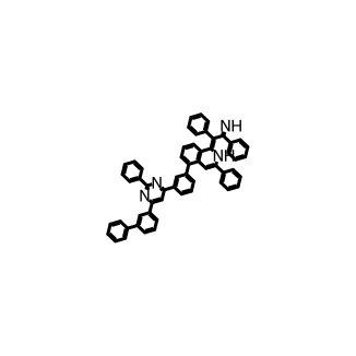 N=C(/C(=C1\NC(c2ccccc2)=Cc2c1cccc2-c1cccc(-c2cc(-c3cccc(-c4ccccc4)c3)nc(-c3ccccc3)n2)c1)c1ccccc1)c1ccccc1